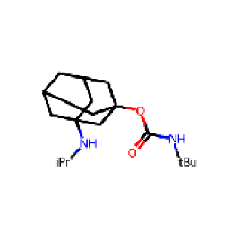 CC(C)NC12CC3CC(C1)CC(OC(=O)NC(C)(C)C)(C3)C2